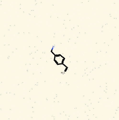 C=Cc1ccc(C[N])cc1